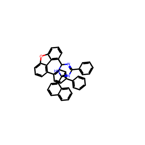 c1ccc(C2=NC(c3cccc4oc5cccc(-c6ccc(-c7ccccc7)cc6)c5c34)NC(c3cccc4ccccc34)=N2)cc1